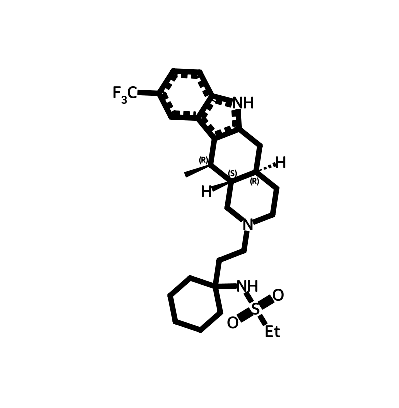 CCS(=O)(=O)NC1(CCN2CC[C@@H]3Cc4[nH]c5ccc(C(F)(F)F)cc5c4[C@H](C)[C@H]3C2)CCCCC1